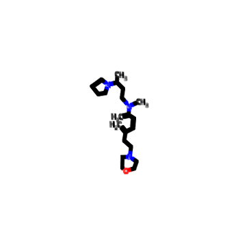 C=C(/C=C\C(=C)N(C)CCC(C)N1CCCC1)CCN1CCOCC1